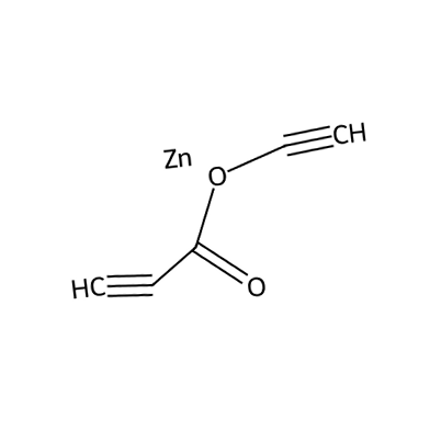 C#COC(=O)C#C.[Zn]